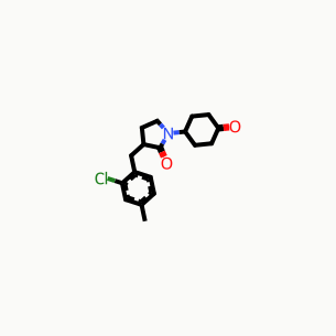 Cc1ccc(CC2CCN(C3CCC(=O)CC3)C2=O)c(Cl)c1